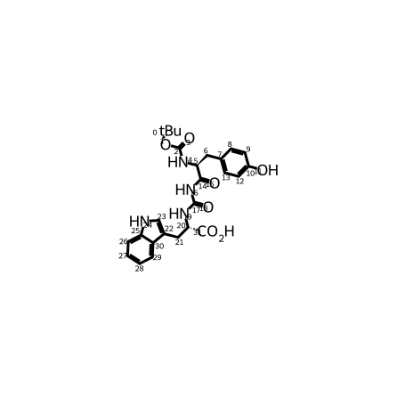 CC(C)(C)OC(=O)N[C@@H](Cc1ccc(O)cc1)C(=O)NC(=O)N[C@@H](Cc1c[nH]c2ccccc12)C(=O)O